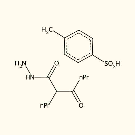 CCCC(=O)C(CCC)C(=O)NN.Cc1ccc(S(=O)(=O)O)cc1